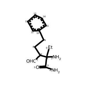 CCC(N)(C(N)=O)C(C=O)CCc1ccccc1